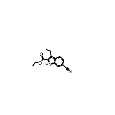 CCOC(=O)c1[nH]c2cc(C#N)ccc2c1CC